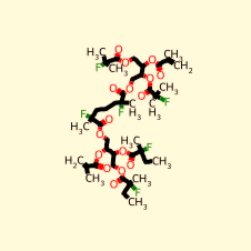 C=C(C)C(=O)OC(COC(=O)C(C)(C)F)C(COC(=O)C(C)(F)CCCC(C)(F)C(=O)OCC(OC(=O)C(=C)C)C(COC(=O)C(C)(F)CC)OC(=O)C(C)(F)CC)OC(=O)C(C)(C)F